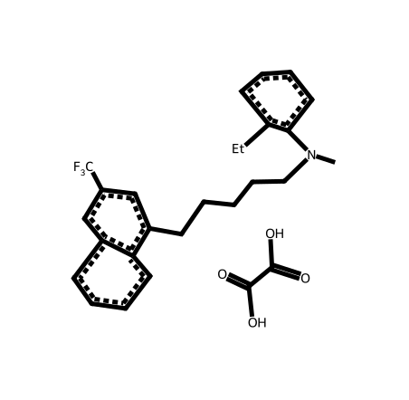 CCc1ccccc1N(C)CCCCCc1cc(C(F)(F)F)cc2ccccc12.O=C(O)C(=O)O